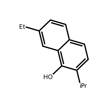 CCc1ccc2ccc(C(C)C)c(O)c2c1